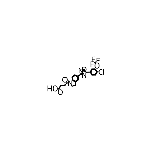 O=C(O)CCC(=O)N1CCc2cc(-c3noc(-c4ccc(Cl)c(OC(F)(F)F)c4)n3)ccc21